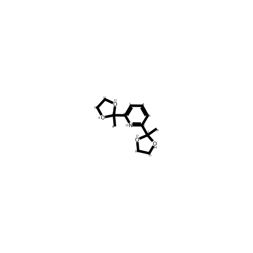 CC1(c2cccc(C3(C)OCCO3)n2)OCCO1